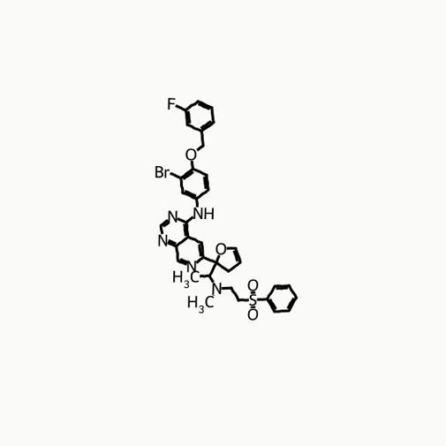 CC(N(C)CCS(=O)(=O)c1ccccc1)C1(c2cc3c(Nc4ccc(OCc5cccc(F)c5)c(Br)c4)ncnc3cn2)CC=CO1